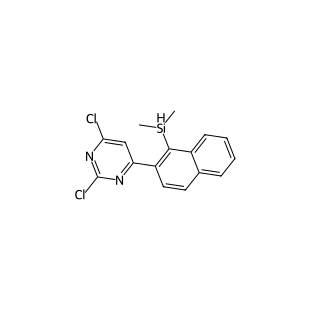 C[SiH](C)c1c(-c2cc(Cl)nc(Cl)n2)ccc2ccccc12